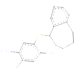 COc1cc(Cl)c(N)cc1SC1CCCCc2ccccc21